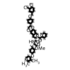 COC(=O)[C@H](Cc1ccc(Oc2ccnc(C)c2C)cc1)NC(=O)[C@@H]1Cc2cc3c(cc2CN1C(=O)c1ccccn1)O[C@@H](c1ccc(OCc2ccc(Cl)c(Cl)c2)cc1)CO3